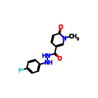 Cn1cc(C(=O)NNc2ccc(F)cc2)ccc1=O